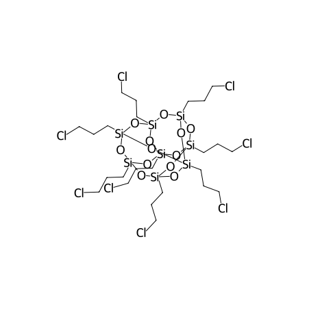 ClCCC[Si]12O[Si]3(CCCCl)O[Si]4(CCCCl)O[Si](CCCCl)(O1)O[Si]1(CCCCl)O[Si](CCCCl)(O2)O[Si](CCCCl)(O3)O[Si](CCCCl)(O4)O1